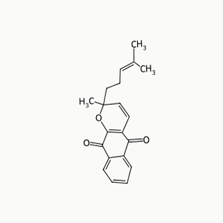 CC(C)=CCCC1(C)C=CC2=C(O1)C(=O)c1ccccc1C2=O